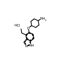 CCc1c(OC2CCC(N)CC2)ccc2[nH]ncc12.Cl